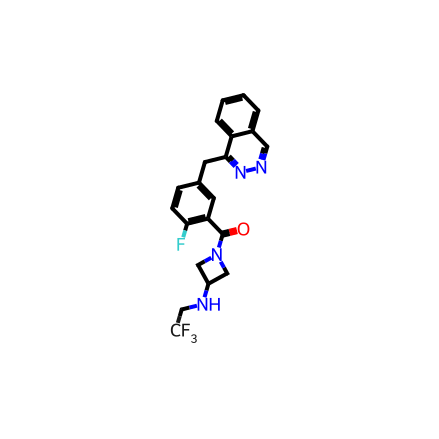 O=C(c1cc(Cc2nncc3ccccc23)ccc1F)N1CC(NCC(F)(F)F)C1